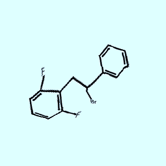 Fc1cccc(F)c1CC(Br)c1ccccc1